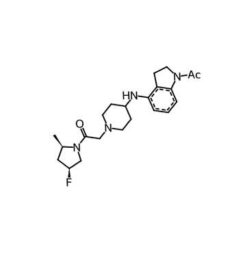 CC(=O)N1CCc2c(NC3CCN(CC(=O)N4C[C@@H](F)C[C@H]4C)CC3)cccc21